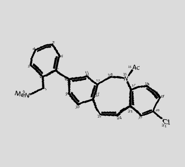 CNCc1ccccc1-c1ccc2c(c1)CN(C(C)=O)c1ccc(Cl)cc1/C=C\2